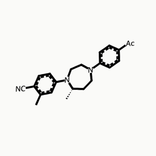 CC(=O)c1ccc(N2CC[C@H](C)N(c3ccc(C#N)c(C)c3)CC2)cc1